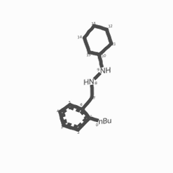 CCCCc1ccccc1CNNC1CCCCC1